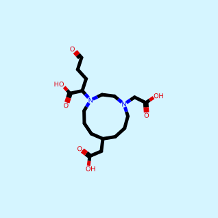 O=CCCC(C(=O)O)N1CCCC(CC(=O)O)CCCN(CC(=O)O)CC1